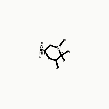 CC1CCCN(C)C1(C)C.N=O